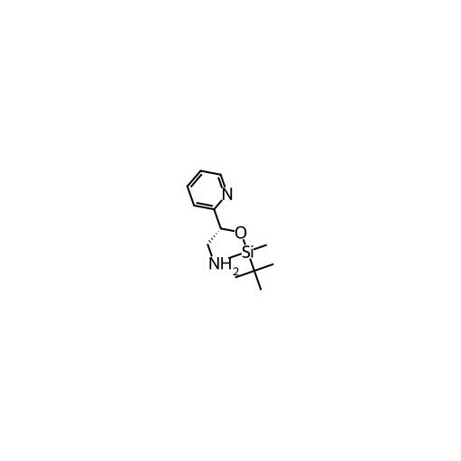 CC(C)(C)[Si](C)(C)O[C@H](CN)c1ccccn1